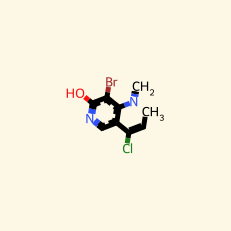 C=Nc1c(/C(Cl)=C\C)cnc(O)c1Br